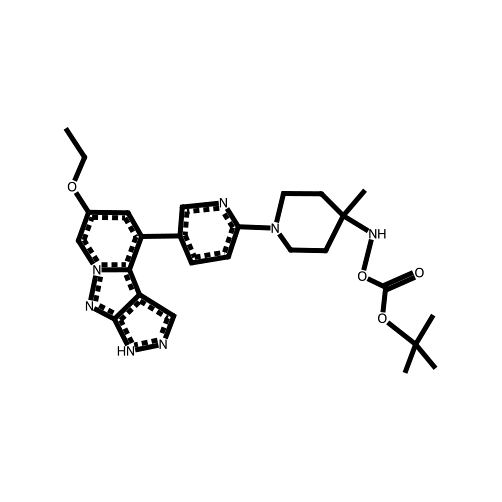 CCOc1cc(-c2ccc(N3CCC(C)(NOC(=O)OC(C)(C)C)CC3)nc2)c2c3cn[nH]c3nn2c1